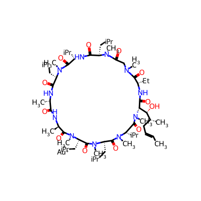 C/C=C/C[C@@H](C)[C@@H](O)[C@H]1C(=O)N[C@@H](CC)C(=O)N(C)CC(=O)N(C)[C@@H](CC(C)C)C(=O)N[C@@H](C(C)C)C(=O)N(C)[C@@H](CC(C)C)C(=O)N[C@@H](C)C(=O)N[C@H](C)C(=O)N(C)[C@@H](CC(C)C)C(=O)N(C)[C@@H](CC(C)C)C(=O)N(C)[C@@H](C(C)C)C(=O)N1C.[Au+]